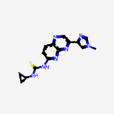 Cn1cnc(-c2cnc3ccc(NC(=S)NC4CC4)nc3n2)c1